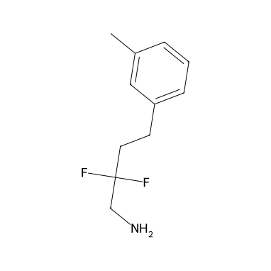 Cc1cccc(CCC(F)(F)CN)c1